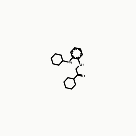 O=C(CNc1ccccc1NC1CCCCC1)C1CCCCC1